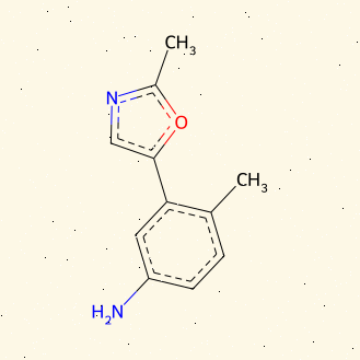 Cc1ncc(-c2cc(N)ccc2C)o1